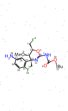 CO[C@H]1[C@@H](CF)OC(NC(=O)OC(C)(C)C)=N[C@]1(C)c1cc(N)ccc1F